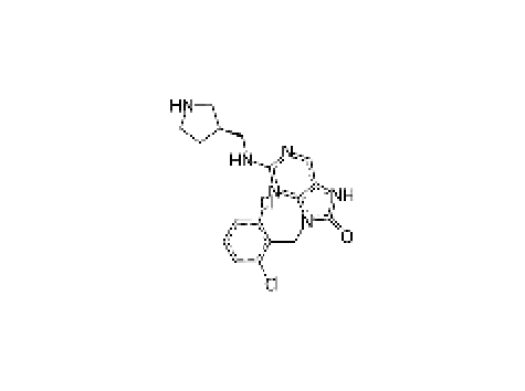 O=c1[nH]c2cnc(NC[C@H]3CCNC3)nc2n1Cc1c(Cl)cccc1Cl